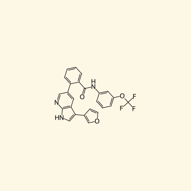 O=C(Nc1cccc(OC(F)(F)F)c1)c1ccccc1-c1cnc2[nH]cc(-c3ccoc3)c2c1